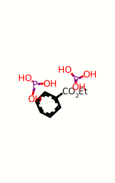 CCOC(=O)c1ccccc1.OP(O)O.OP(O)O